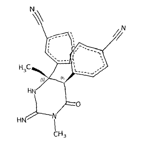 CN1C(=N)N[C@](C)(c2cccc(C#N)c2)[C@@H](c2ccc(C#N)cc2)C1=O